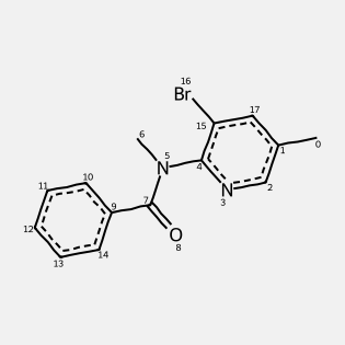 Cc1cnc(N(C)C(=O)c2ccccc2)c(Br)c1